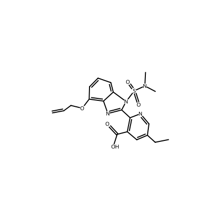 C=CCOc1cccc2c1nc(-c1ncc(CC)cc1C(=O)O)n2S(=O)(=O)N(C)C